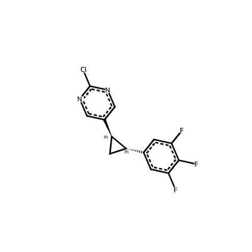 Fc1cc([C@@H]2C[C@H]2c2cnc(Cl)nc2)cc(F)c1F